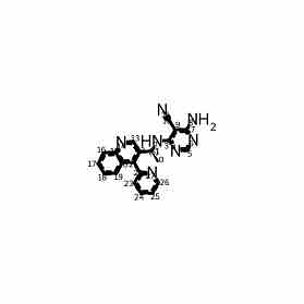 C[C@H](Nc1ncnc(N)c1C#N)c1cnc2ccccc2c1-c1ccccn1